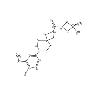 COc1cc(C2CCC3(CC2)CN(C(=O)[C@H]2C[C@@](C)(O)C2)C3)ccc1F